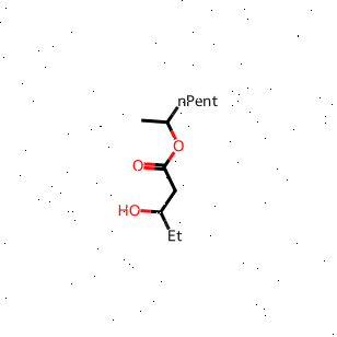 CCCCCC(C)OC(=O)CC(O)CC